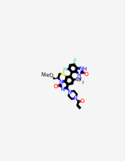 C=CC(=O)N1CCN(c2nc(=O)n3c4c(c(-c5c(F)cc(F)c6[nH]c(=O)[nH]c56)c(C(F)(F)F)cc24)SC[C@@H]3COC)CC1